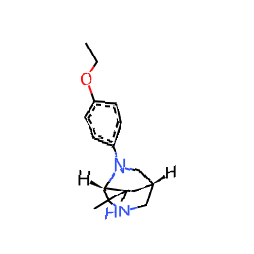 CCOc1ccc(N2C[C@@H]3CNC[C@H]2C(C)(C)C3)cc1